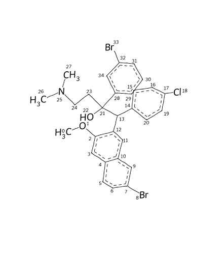 COc1cc2ccc(Br)cc2cc1C(c1ccc(Cl)cc1)C(O)(CCN(C)C)c1cccc(Br)c1